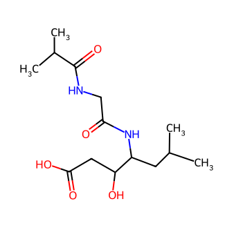 CC(C)CC(NC(=O)CNC(=O)C(C)C)C(O)CC(=O)O